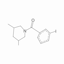 CC1CC(C)CN(C(=O)c2cccc(I)c2)C1